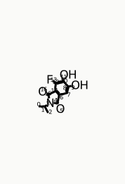 CC(C)N1C(=O)c2cc(O)c(O)c(F)c2C1=O